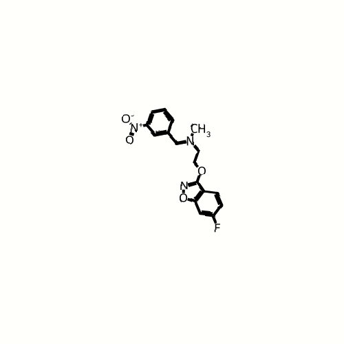 CN(CCOc1noc2cc(F)ccc12)Cc1cccc([N+](=O)[O-])c1